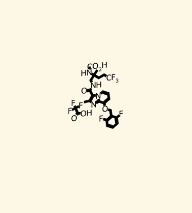 Cc1nc2c(OCc3c(F)cccc3F)cccn2c1C(=O)NCC(C)(CCC(F)(F)F)NC(=O)O.O=C(O)C(F)(F)F